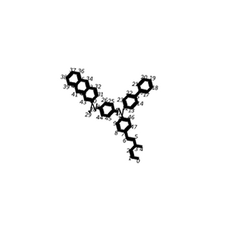 C/C=C\C(C)/C=C/c1ccc(N(c2ccc(-c3ccccc3)cc2)c2ccc(N(C)c3ccc4cc5ccccc5cc4c3)cc2)cc1